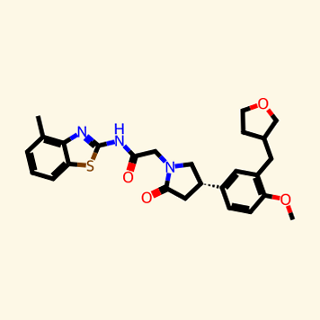 COc1ccc([C@@H]2CC(=O)N(CC(=O)Nc3nc4c(C)cccc4s3)C2)cc1CC1CCOC1